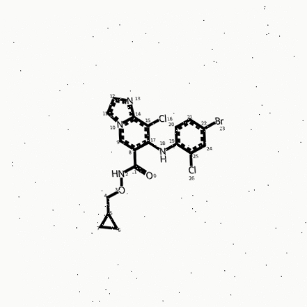 O=C(NOCC1CC1)c1cn2ccnc2c(Cl)c1Nc1ccc(Br)cc1Cl